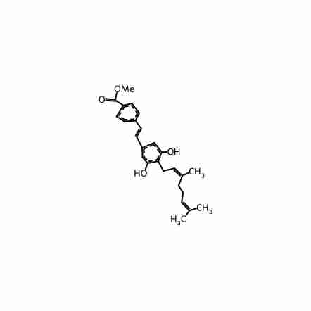 COC(=O)c1ccc(C=Cc2cc(O)c(CC=C(C)CCC=C(C)C)c(O)c2)cc1